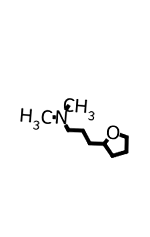 CN(C)CCCC1CCCO1